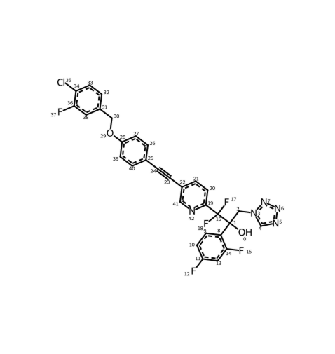 OC(Cn1cnnn1)(c1ccc(F)cc1F)C(F)(F)c1ccc(C#Cc2ccc(OCc3ccc(Cl)c(F)c3)cc2)cn1